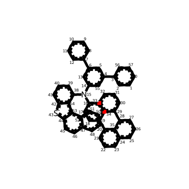 c1ccc(-c2cc(-c3ccccc3)cc(N(c3ccc(-c4cccc5cccc(-c6ccccc6)c45)cc3)c3cccc4sc5ccc6ccccc6c5c34)c2)cc1